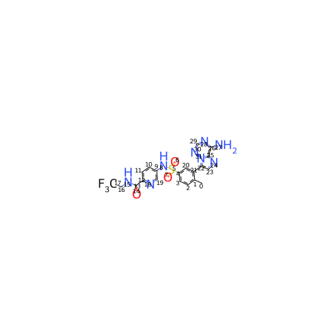 Cc1ccc(S(=O)(=O)Nc2ccc(C(=O)NCC(F)(F)F)nc2)cc1-c1cnc2c(N)ncnn12